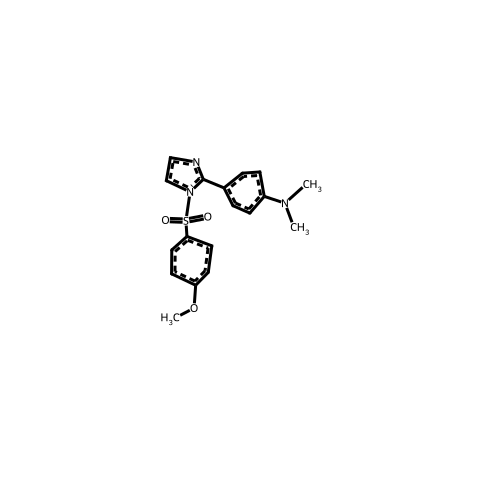 COc1ccc(S(=O)(=O)n2ccnc2-c2ccc(N(C)C)cc2)cc1